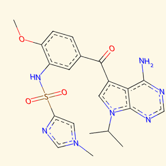 COc1ccc(C(=O)c2cn(C(C)C)c3ncnc(N)c23)cc1NS(=O)(=O)c1cn(C)cn1